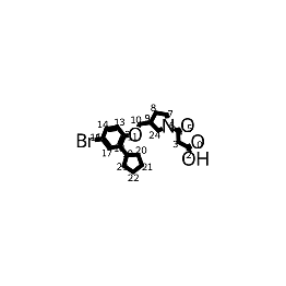 O=C(O)CC(=O)N1CCC(COc2ccc(Br)cc2C2CCCC2)C1